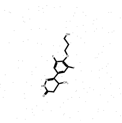 CC1CC(=O)NN=C1c1cc(F)c(OCCCO)c(F)c1